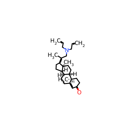 C=CCN(CC=C)CC(C)=C1CC[C@H]2[C@@H]3CCC4=CC(=O)CC[C@]4(C)[C@H]3CC[C@]12C